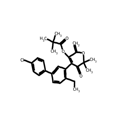 C=C1OC(C)(C)C(=O)C(c2cc(-c3ccc(Cl)cc3)ccc2CC)=C1OC(=O)C(C)(C)C